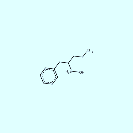 CCCC(Cc1ccccc1)[SiH2]O